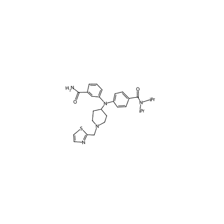 CC(C)N(C(=O)c1ccc(N(c2cccc(C(N)=O)c2)C2CCN(Cc3nccs3)CC2)cc1)C(C)C